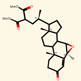 COC(=O)C(C[C@@H](C)C1CCC2C3C4O[C@H]4C4=CC(=O)CC[C@]4(C)C3CC[C@@]21C)C(=O)OC